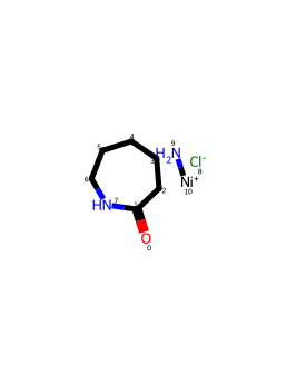 O=C1CCCCCN1.[Cl-].[NH2][Ni+]